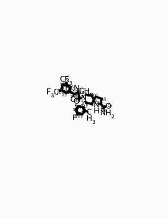 Cc1cc(F)ccc1[C@H]1CC2(CCC(C(N)=O)N2)CCN1C(=O)C(C)(N)[C@H](C)c1cc(C(F)(F)F)cc(C(F)(F)F)c1